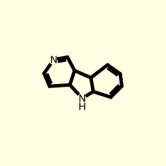 C1=CC2NC3C=CN=CC3C2C=C1